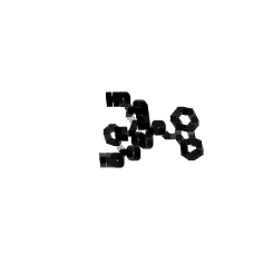 O=C(O)C[C@H](NC(=O)OCC1c2ccccc2-c2ccccc21)C(=O)N1CCC[C@H]1C(=O)O